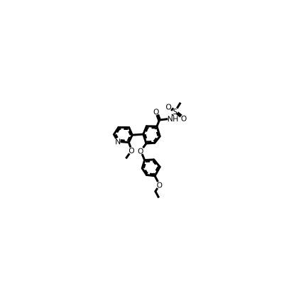 CCOc1ccc(Oc2ccc(C(=O)NS(C)(=O)=O)cc2-c2cccnc2OC)cc1